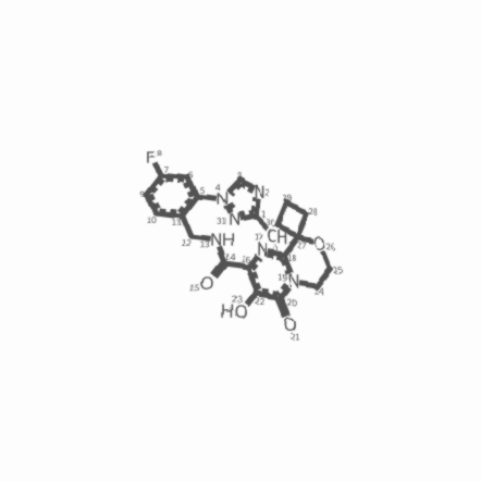 Cc1ncn(-c2cc(F)ccc2CNC(=O)c2nc3n(c(=O)c2O)CCOC32CCC2)n1